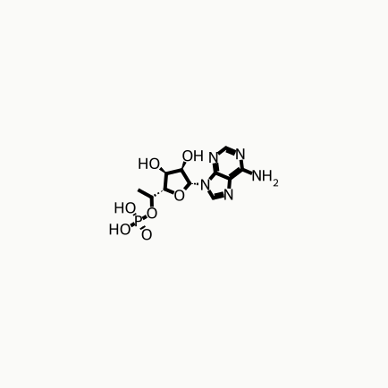 CC(OP(=O)(O)O)[C@H]1O[C@@H](n2cnc3c(N)ncnc32)[C@H](O)[C@@H]1O